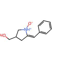 [O-][NH+]1CC(CO)CC1=Cc1ccccc1